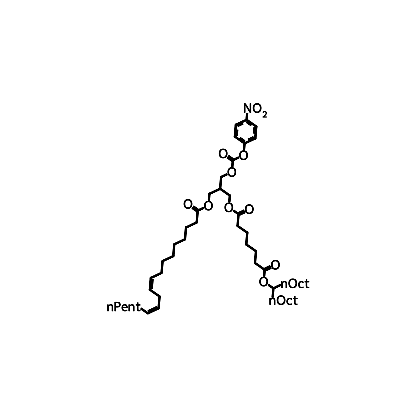 CCCCC/C=C\C/C=C\CCCCCCCC(=O)OCC(COC(=O)CCCCCC(=O)OC(CCCCCCCC)CCCCCCCC)COC(=O)Oc1ccc([N+](=O)[O-])cc1